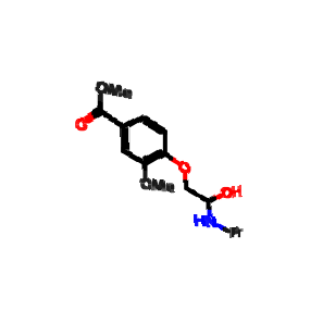 COC(=O)c1ccc(OCC(O)NC(C)C)c(OC)c1